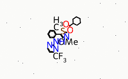 COc1nc(OC(=O)C2CCCCC2)sc1-c1c(C)cccc1Nc1nccc(C(F)(F)F)n1